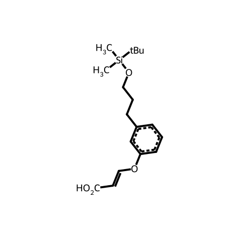 CC(C)(C)[Si](C)(C)OCCCc1cccc(OC=CC(=O)O)c1